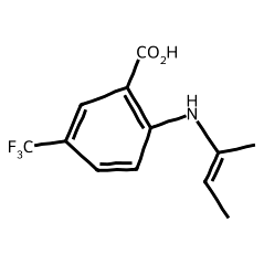 CC=C(C)Nc1ccc(C(F)(F)F)cc1C(=O)O